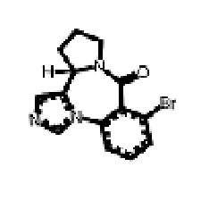 O=C1c2c(Br)cccc2-n2cncc2[C@@H]2CCCN12